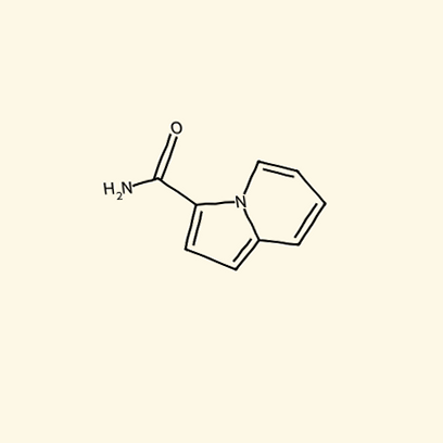 NC(=O)c1ccc2ccccn12